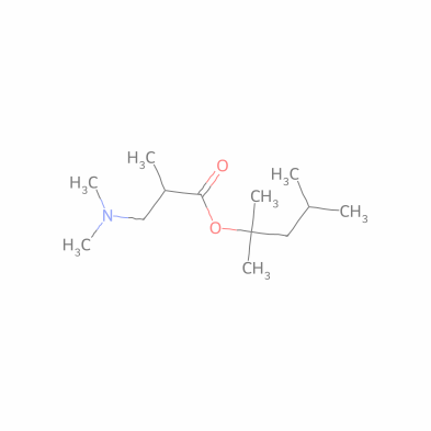 CC(C)CC(C)(C)OC(=O)C(C)CN(C)C